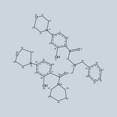 CN(CC(=O)c1ccc(N2CCOCC2)cc1O)Cc1ccccc1.O=C(c1ccc(N2CCOCC2)cc1O)N1CCCCC1